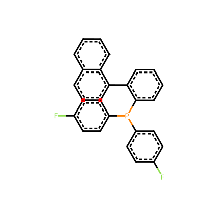 Fc1ccc(P(c2ccc(F)cc2)c2ccccc2-c2cccc3ccccc23)cc1